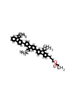 C=CC(=O)OCCCCc1ccc2c(c1)C(CC)(CC)c1cc(-c3ccc4c(c3)C(CC)(CC)c3cc(-c5ccc6c(c5)C(CC)(CC)c5ccccc5-6)ccc3-4)ccc1-2